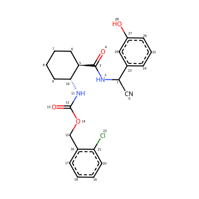 N#CC(NC(=O)[C@@H]1CCCC[C@H]1NC(=O)OCc1ccccc1Cl)c1cccc(O)c1